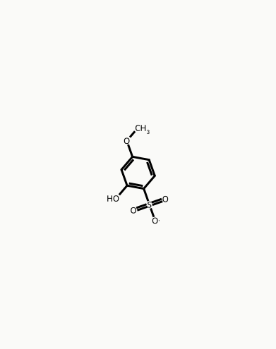 COc1ccc(S([O])(=O)=O)c(O)c1